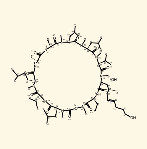 CC[C@@H]1NC(=O)[C@H]([C@H](O)[C@H](C)C/C=C/CCCO)N(C)C(=O)[C@H](C(C)C)N(C)C(=O)[C@H](CC(C)C)N(C)C(=O)[C@H](CC(C)C)N(C)C(=O)[C@H](C)NC(=O)[C@@H](C)NC(=O)[C@@H](CCC(C)C)N(C)C(=O)[C@@H](C(C)C)NC(=O)[C@H](CC(C)C)N(C)C(=O)CN(C)C1=O